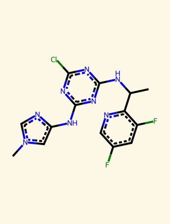 CC(Nc1nc(Cl)nc(Nc2cn(C)cn2)n1)c1ncc(F)cc1F